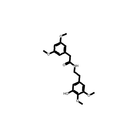 COc1cc(CC(=O)NCCc2cc(O)c(OC)c(OC)c2)cc(OC)c1